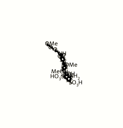 COCCOCCOCCCNS(=O)(=O)c1ccc(N=Nc2cc(OC)c(N=Nc3c(S(=O)(=O)O)cc4cc(S(=O)(=O)O)cc(N)c4c3O)cc2OC)cc1